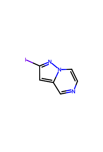 Ic1cc2cnccn2n1